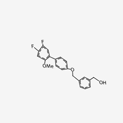 COc1cc(F)c(F)cc1-c1ccc(OCc2cccc(CO)c2)cc1